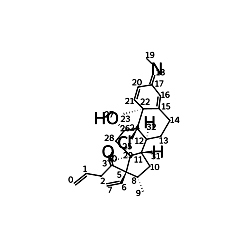 C=CCC(=O)[C@@]1(C=C)[C@@H](C)C[C@H]2[C@@H]3CCC4=C/C(=N/C)C=C[C@]4(C)[C@@]3(Cl)[C@@H](O)C[C@@]21C